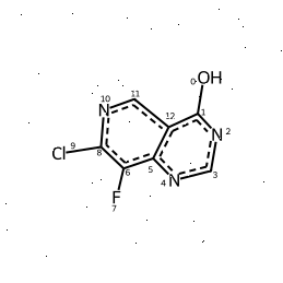 Oc1ncnc2c(F)c(Cl)ncc12